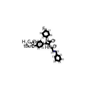 CC(C)(C)[Si](C)(C)Oc1ccc([C@@H]2[C@@H](NC(=O)/C=C/c3ccccc3)C(=O)N2c2ccc(F)cc2)cc1